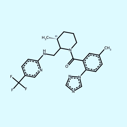 Cc1ccc(-n2cncn2)c(C(=O)N2CCC[C@@H](C)C2CNc2ccc(C(F)(F)F)cn2)c1